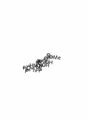 CCCSc1nc(N[C@@H]2C[C@H]2c2ccc(F)c(F)c2)c2nnn([C@@H]3C[C@H](OCC(=O)OC)[C@@H](O)[C@H]3O)c2n1